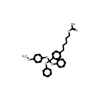 COc1ccc(OC(Oc2ccccc2)(Oc2ccccc2)c2ccc(CCCCCOC(=O)O)cc2)cc1